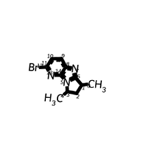 CC1CC(C)n2c1nc1ccc(Br)nc12